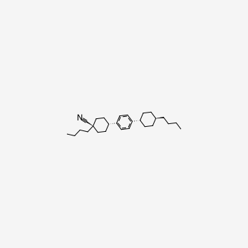 CCCC[C@H]1CC[C@H](c2ccc([C@H]3CC[C@@](C#N)(CCCC)CC3)cc2)CC1